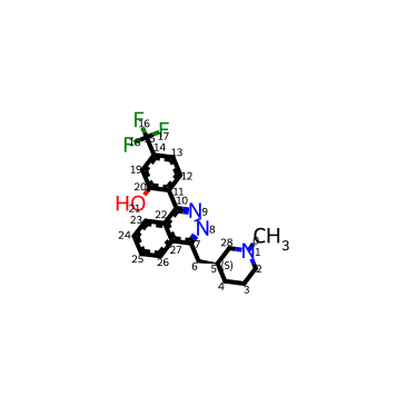 CN1CCC[C@@H](Cc2nnc(-c3ccc(C(F)(F)F)cc3O)c3ccccc23)C1